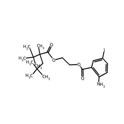 CC(C)(C)CC(C)(C(=O)OCCOC(=O)c1cc(I)ccc1N)C(C)(C)C